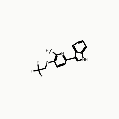 Cc1nc(-c2c[nH]c3ccccc23)ccc1OCC(F)(F)F